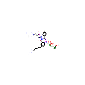 CN1C(=O)C(c2ccccc2NC(=O)CCCN)N(CCC(=O)O)C(=O)c2cc(CCCCCCN)ccc21.O=C(O)C(F)(F)F.O=C(O)C(F)(F)F